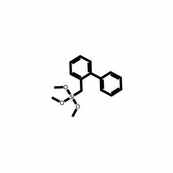 CO[Si](Cc1ccccc1-c1ccccc1)(OC)OC